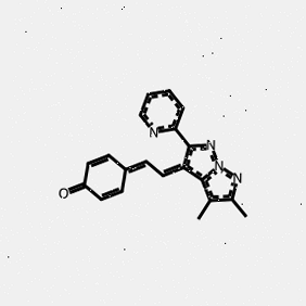 Cc1nn2nc(-c3ccccn3)c(=CC=C3C=CC(=O)C=C3)c2c1C